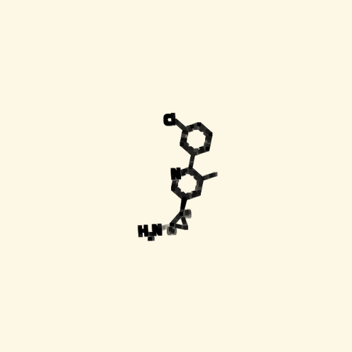 Cc1cc([C@H]2C[C@@H]2N)cnc1-c1cccc(Cl)c1